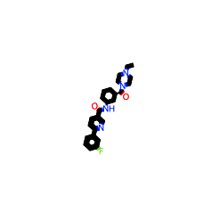 CCN1CCN(C(=O)[C@@H]2CCC[C@H](NC(=O)c3ccc(-c4cccc(F)c4)nc3)C2)CC1